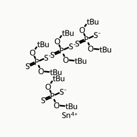 CC(C)(C)OP(=S)([S-])OC(C)(C)C.CC(C)(C)OP(=S)([S-])OC(C)(C)C.CC(C)(C)OP(=S)([S-])OC(C)(C)C.CC(C)(C)OP(=S)([S-])OC(C)(C)C.[Sn+4]